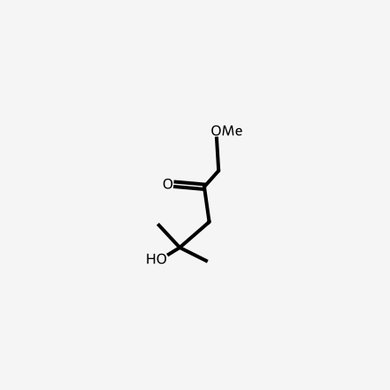 COCC(=O)CC(C)(C)O